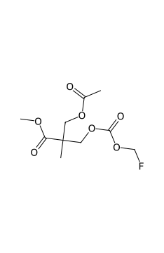 COC(=O)C(C)(COC(C)=O)COC(=O)OCF